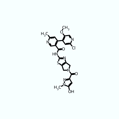 COc1cnc(Cl)cc1-c1cc(C)ncc1C(=O)Nc1nc2c(s1)CN(C(=O)c1cc(O)n(C)n1)C2